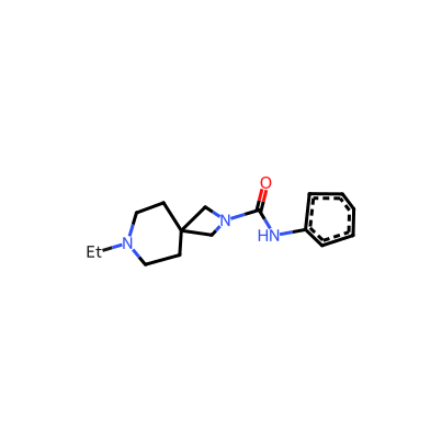 CCN1CCC2(CC1)CN(C(=O)Nc1ccccc1)C2